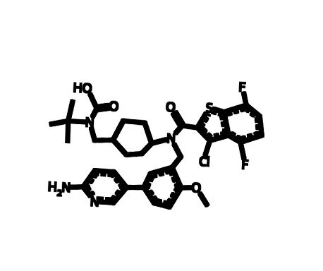 COc1ccc(-c2ccc(N)nc2)cc1CN(C(=O)c1sc2c(F)ccc(F)c2c1Cl)C1CCC(CN(C(=O)O)C(C)(C)C)CC1